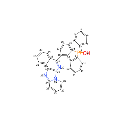 O[PH](c1ccccc1)(c1ccccc1)c1cccc(-c2nc3c(nc4ccccn43)c3ccccc23)c1